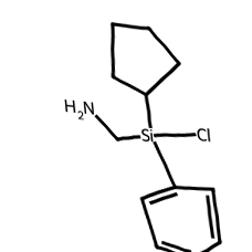 NC[Si](Cl)(c1ccccc1)C1CCCC1